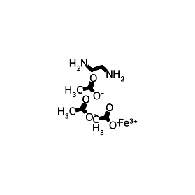 CC(=O)[O-].CC(=O)[O-].CC(=O)[O-].NCCN.[Fe+3]